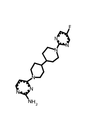 Nc1nccc(N2CCC(C3CCN(c4ncc(F)cn4)CC3)CC2)n1